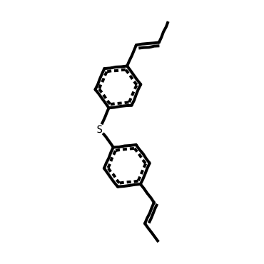 CC=Cc1ccc(Sc2ccc(C=CC)cc2)cc1